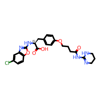 O=C(CCCOc1ccc(C[C@H](Nc2nc3cc(Cl)ccc3o2)C(=O)O)cc1)NC1=NCCCN1